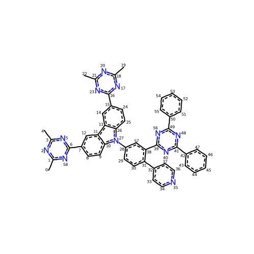 Cc1nc(C)nc(-c2ccc3c(c2)c2cc(-c4nc(C)nc(C)n4)ccc2n3-c2ccc(-c3ccncc3)c(-c3nc(-c4ccccc4)nc(-c4ccccc4)n3)c2)n1